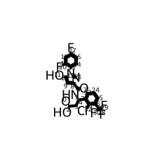 O=C(O)CC(NC(=O)c1cc(O)n(-c2ccc(F)cc2F)n1)c1cccc(C(F)(F)F)c1Cl